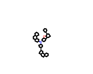 c1ccc(-c2cccc3c2oc2cc(N(c4ccc(-c5ccc6ccc7ccccc7c6c5)cc4)c4ccc5ccc6ccccc6c5c4)ccc23)cc1